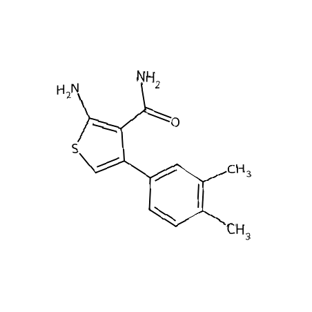 Cc1ccc(-c2csc(N)c2C(N)=O)cc1C